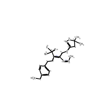 CCc1ccc(CC/C(=C(CSC2=NOC(C)(C)C2)\N=N/C)C(F)(F)Br)cc1